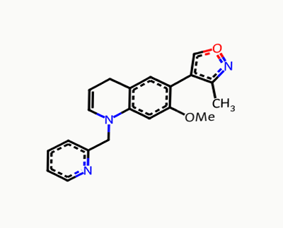 COc1cc2c(cc1-c1conc1C)CC=CN2Cc1ccccn1